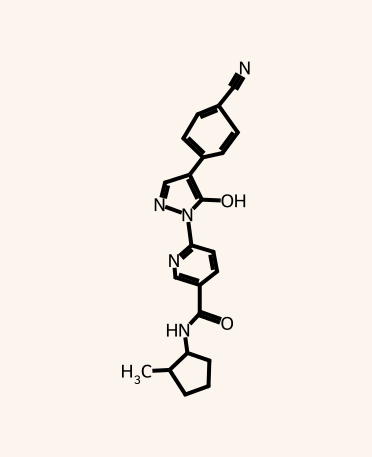 CC1CCCC1NC(=O)c1ccc(-n2ncc(-c3ccc(C#N)cc3)c2O)nc1